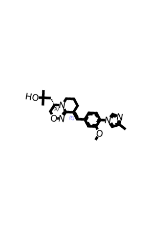 COc1cc(/C=C2\CCCN3C2=NOC[C@@H]3CC(C)(C)O)ccc1-n1cnc(C)c1